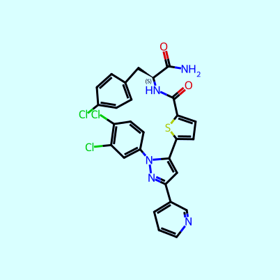 NC(=O)[C@H](Cc1ccc(Cl)cc1)NC(=O)c1ccc(-c2cc(-c3cccnc3)nn2-c2ccc(Cl)c(Cl)c2)s1